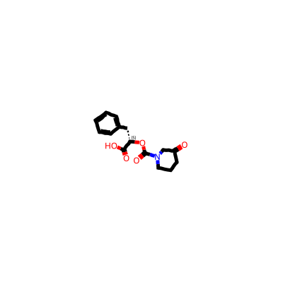 O=C1CCCN(C(=O)O[C@@H](Cc2ccccc2)C(=O)O)C1